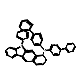 C1=Cc2cc3c4ccccc4n(-c4ccccc4)c3cc2[C@H](N(c2ccc(-c3ccccc3)cc2)c2ccc(-c3ccccc3)cc2)C1